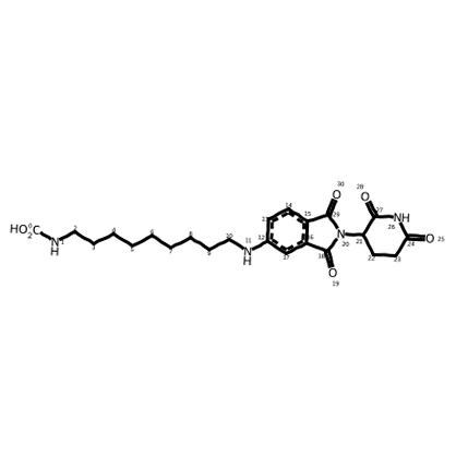 O=C(O)NCCCCCCCCCNc1ccc2c(c1)C(=O)N(C1CCC(=O)NC1=O)C2=O